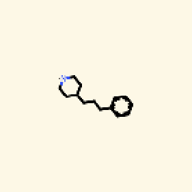 c1ccc(CCCC2CC[N]CC2)cc1